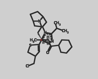 Cc1nnc(C(C)C)n1C1CC2CCC(C1)N2CC[C@H](NC(=O)C1CCCCC1)C1=CC(CCl)CS1